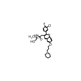 C[C@H](CO)NC(=O)Cc1cc2cc(OCCCN3CCCCC3)ccc2nc1-c1ccc(F)c(Cl)c1